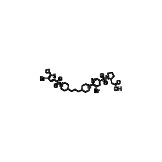 O=C(O)CC1CCCN1S(=O)(=O)c1cnc(N2CCC(CCCC3CCN(S(=O)(=O)c4cc(Br)c(Cl)s4)CC3)CC2)c(Br)c1